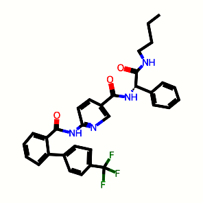 CCCCNC(=O)[C@@H](NC(=O)c1ccc(NC(=O)c2ccccc2-c2ccc(C(F)(F)F)cc2)nc1)c1ccccc1